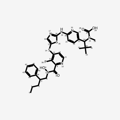 CCCC(CN(O)C(=O)c1nccc(Sc2cnc(Nc3ccc(C(N(C)C(=O)O)C(C)(C)C)cn3)s2)c1F)c1ccccc1